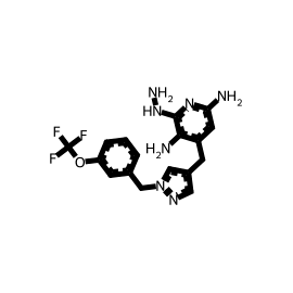 NNc1nc(N)cc(Cc2cnn(Cc3cccc(OC(F)(F)F)c3)c2)c1N